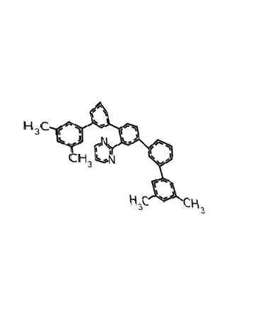 Cc1cc(C)cc(-c2cccc(-c3ccc(-c4cccc(-c5cc(C)cc(C)c5)c4)c(-c4ncccn4)c3)c2)c1